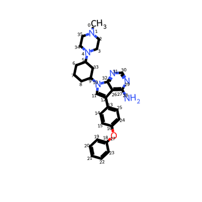 CN1CCN(C2CCCC(n3cc(-c4ccc(Oc5ccccc5)cc4)c4c(N)ncnc43)C2)CC1